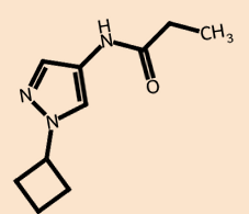 CCC(=O)Nc1cnn(C2CCC2)c1